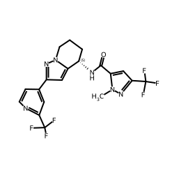 Cn1nc(C(F)(F)F)cc1C(=O)N[C@H]1CCCn2nc(-c3ccnc(C(F)(F)F)c3)cc21